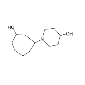 OC1CCN(C2CCCCC(O)C2)CC1